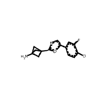 NC12CC(c3ncc(-c4ccc(Cl)c(F)c4)o3)(C1)C2